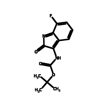 CC(C)(C)OC(=O)NC1=c2cccc(F)c2=NC1=O